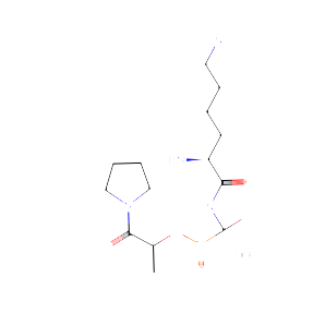 CCCC[C@@](O)(NC(=O)[C@@H](N)CCCCN)[PH](=O)OC(C)C(=O)N1CCC[C@H]1C(=O)O